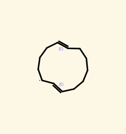 [CH]1/C=C/CCCCC/C=C/CCC1